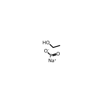 CCO.O=P[O-].[Na+]